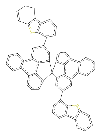 C1=Cc2sc3c(-c4cc5c6c(c4)c4ccccc4c4cccc(c46)C54c5cccc6c7ccccc7c7cc(-c8cccc9c8sc8ccccc89)cc4c7c56)cccc3c2CC1